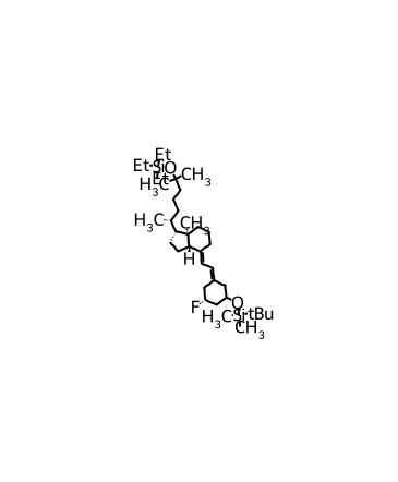 CC[Si](CC)(CC)OC(C)(C)CCC[C@@H](C)[C@H]1CC[C@H]2/C(=C/C=C3/CC(O[Si](C)(C)C(C)(C)C)C[C@H](F)C3)CCC[C@]12C